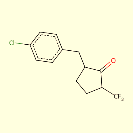 O=C1C(Cc2ccc(Cl)cc2)CCC1C(F)(F)F